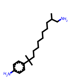 CC(CN)CCCCCCCCC(C)(C)c1ccc(N)cc1